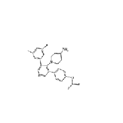 Cc1cc(F)cc(-c2cncc(-c3ccc(OC(F)F)cc3)c2N2CCC(N)CC2)c1